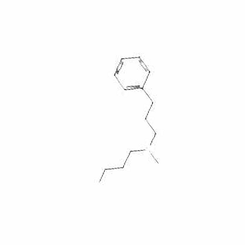 CN(CCCCl)CCCc1ccccc1.Cl